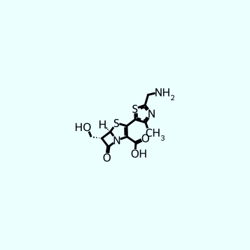 Cc1nc(CN)sc1C1=C(C(=O)O)N2C(=O)[C@H](CO)[C@H]2S1